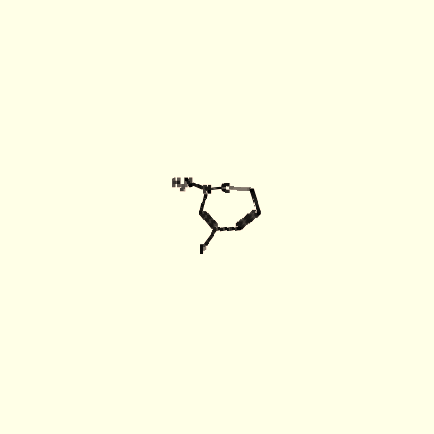 NN1C=C(F)C=CCC1